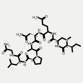 CCC(C)[C@H]1C(=O)N[C@@H](C(=O)NC(CCC(N)=O)C(=O)N[C@@H](CC(N)=O)C(=O)NC(C)C(=O)N2CCC[C@H]2C(=O)N[C@@H](CC(C)C)C(=O)NCC(N)=O)CN1C